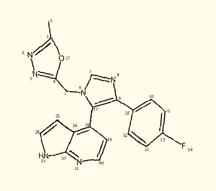 Cc1nnc(Cn2cnc(-c3ccc(F)cc3)c2-c2ccnc3[nH]ccc23)o1